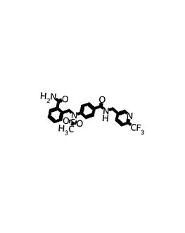 CS(=O)(=O)N(Cc1ccccc1C(N)=O)c1ccc(C(=O)NCc2ccc(C(F)(F)F)nc2)cc1